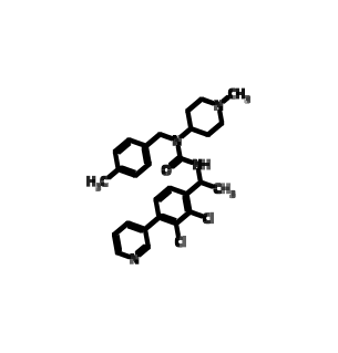 Cc1ccc(CN(C(=O)NC(C)c2ccc(-c3cccnc3)c(Cl)c2Cl)C2CCN(C)CC2)cc1